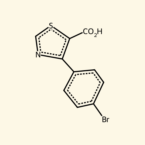 O=C(O)c1scnc1-c1ccc(Br)cc1